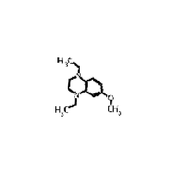 CCN1CCN(CC)c2cc(OC)ccc21